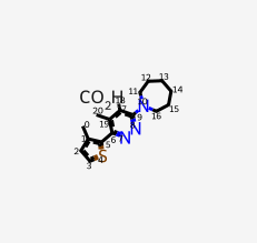 Cc1ccsc1-c1nnc(N2CCCCCC2)c(C(=O)O)c1C